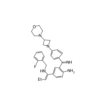 CC/C=C(\NCc1ccccc1F)c1ccc(N)c(C(=N)c2ccc(N3CC(N4CCOCC4)C3)cc2)c1